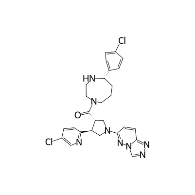 O=C([C@@H]1CN(c2ccc3nncn3n2)C[C@H]1c1ccc(Cl)cn1)N1CCC[C@@H](c2ccc(Cl)cc2)NCC1